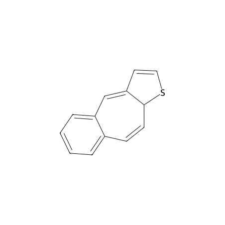 C1=CC2=Cc3ccccc3C=CC2S1